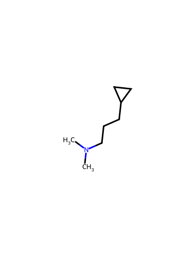 CN(C)CCCC1CC1